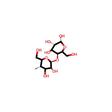 C[C@@H]1C(CO)O[C@@H](O[C@@H]2C(CO)O[C@@H](O)[C@@H](O)C2O)[C@@H](O)C1O